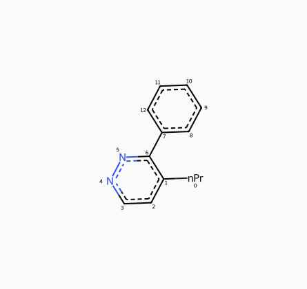 CCCc1ccnnc1-c1ccccc1